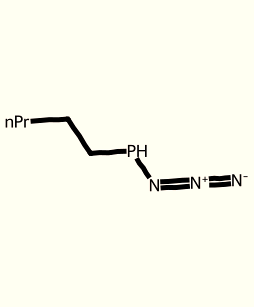 CCCCCPN=[N+]=[N-]